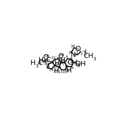 CC[C@@H]1CN([C@H]2C[C@@]3(C)[C@@H](CC[C@H]4[C@@H]5CC[C@H](C(C)=O)[C@@]5(C)CC(=O)[C@@H]43)C[C@@H]2O)CCO1